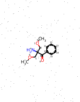 COCC(N)(COC)C(=O)c1ccccc1